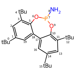 CC(C)(C)c1cc(C(C)(C)C)c2op(N)oc3c(C(C)(C)C)cc(C(C)(C)C)cc3c2c1